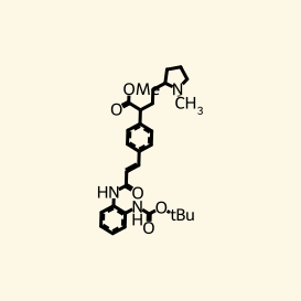 COC(=O)C(CCC1CCCN1C)c1ccc(/C=C/C(=O)Nc2ccccc2NC(=O)OC(C)(C)C)cc1